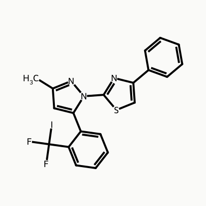 Cc1cc(-c2ccccc2C(F)(F)I)n(-c2nc(-c3ccccc3)cs2)n1